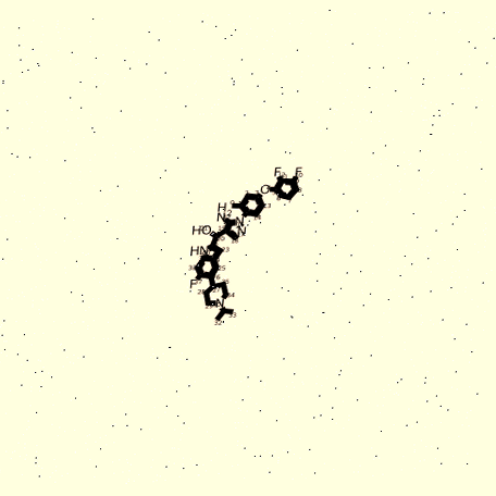 Cc1cc(Oc2cccc(F)c2F)ccc1-n1ncc(C(O)c2cc3cc(C4CCN(C(C)C)CC4)c(F)cc3[nH]2)c1N